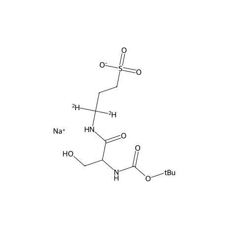 [2H]C([2H])(CCS(=O)(=O)[O-])NC(=O)C(CO)NC(=O)OC(C)(C)C.[Na+]